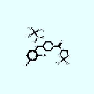 Cc1ccc([C@H](N[S+]([O-])C(C)(C)C)C2CCN(C(=O)[C@H]3COC(C)(C)O3)CC2)c(O)c1